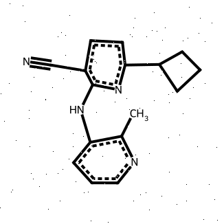 Cc1ncccc1Nc1nc(C2CCC2)ccc1C#N